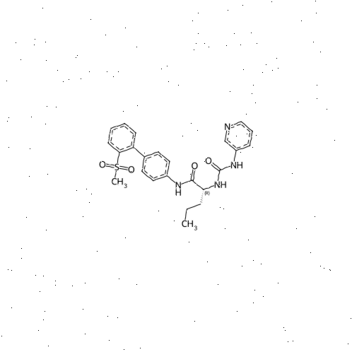 CCC[C@@H](NC(=O)Nc1cccnc1)C(=O)Nc1ccc(-c2ccccc2S(C)(=O)=O)cc1